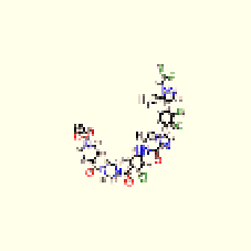 Cc1c(-c2ccc(-c3cnc(C(=O)Nc4ccc(C(=O)N5CCN(C(=O)C6CCN(C(=O)OC(C)(C)C)CC6)CC5)c(Cl)c4)n3C)c(F)c2F)cnn1CC(F)F